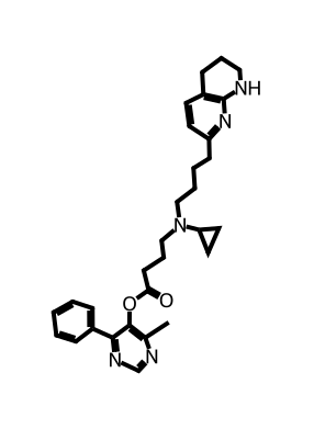 Cc1ncnc(-c2ccccc2)c1OC(=O)CCCN(CCCCc1ccc2c(n1)NCCC2)C1CC1